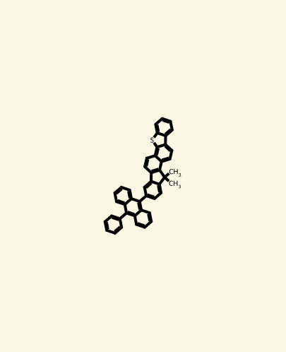 CC1(C)c2ccc(-c3c4ccccc4c(-c4ccccc4)c4ccccc34)cc2-c2ccc3c(ccc4c5ccccc5sc34)c21